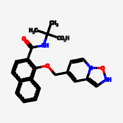 CC(C)(NC(=O)c1ccc2ccccc2c1OCC1=CC2=CNON2C=C1)C(=O)O